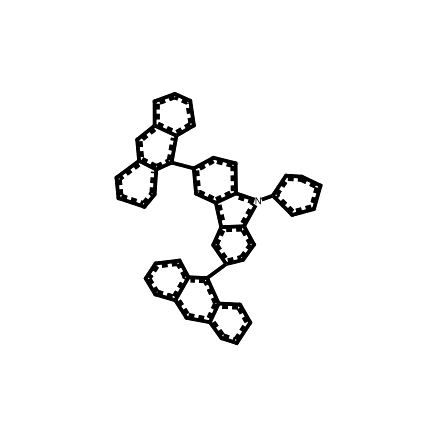 c1ccc(-n2c3ccc(-c4c5ccccc5cc5ccccc45)cc3c3cc(-c4c5ccccc5cc5ccccc45)ccc32)cc1